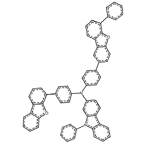 c1ccc(-c2cccc3c2oc2ccc(-c4ccc(N(c5ccc(-c6cccc7c6oc6ccccc67)cc5)c5ccc6c7ccccc7n(-c7ccccc7)c6c5)cc4)cc23)cc1